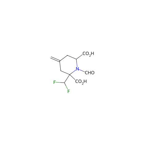 C=C1CC(C(=O)O)N(C=O)C(C(=O)O)(C(F)F)C1